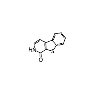 O=c1[nH]ccc2c1sc1ccccc12